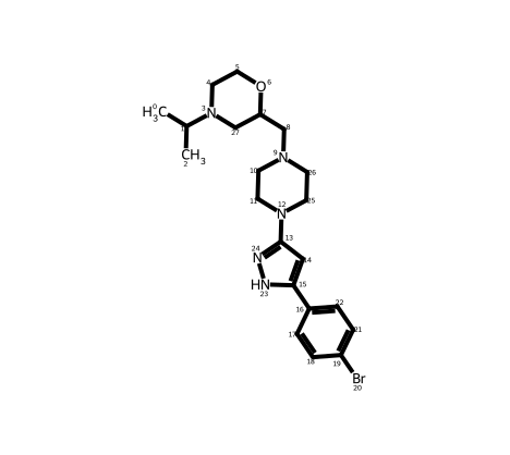 CC(C)N1CCOC(CN2CCN(c3cc(-c4ccc(Br)cc4)[nH]n3)CC2)C1